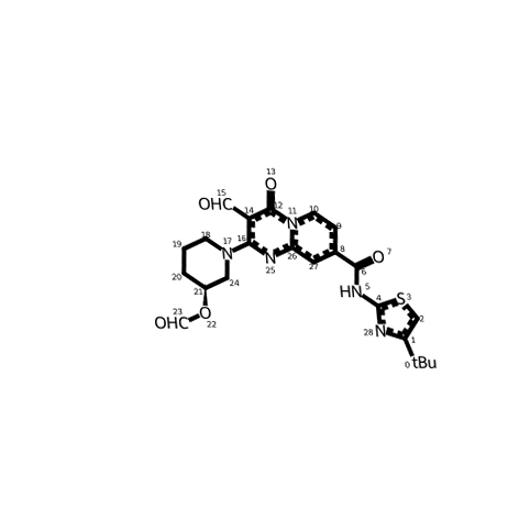 CC(C)(C)c1csc(NC(=O)c2ccn3c(=O)c(C=O)c(N4CCC[C@H](OC=O)C4)nc3c2)n1